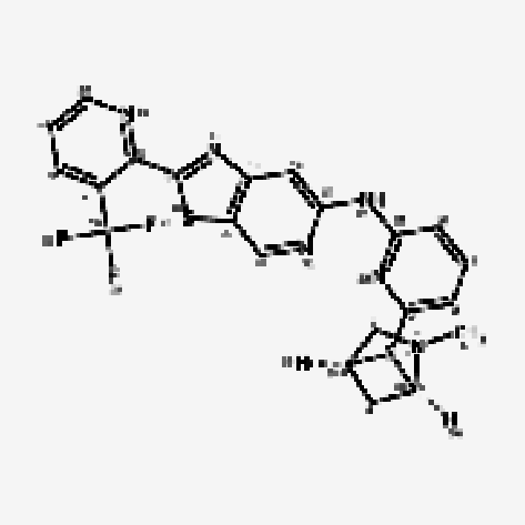 CN1C[C@@H]2C[C@H]1N2c1cccc(Nc2cc3nc(-c4ncccc4C(F)(F)F)sc3cn2)n1